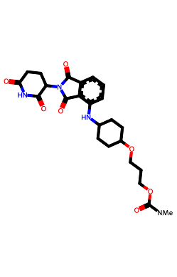 CNC(=O)OCCCOC1CCC(Nc2cccc3c2C(=O)N(C2CCC(=O)NC2=O)C3=O)CC1